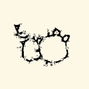 O=C1NCCOCCOc2cccc(c2)-c2cccc(n2)C(=O)N[C@@H]2C[C@H]3C(=O)N[C@]4(C(=O)NS(=O)(=O)C5CC5)C[C@@H]4/C=C\CCCCC[C@H](N1)C(=O)N3C2